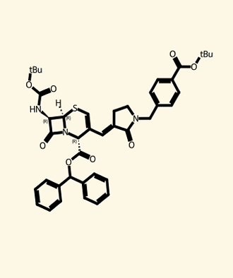 CC(C)(C)OC(=O)N[C@@H]1C(=O)N2[C@@H](C(=O)OC(c3ccccc3)c3ccccc3)C(C=C3CCN(Cc4ccc(C(=O)OC(C)(C)C)cc4)C3=O)=CS[C@H]12